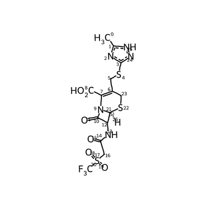 Cc1nc(SCC2=C(C(=O)O)N3C(=O)C(NC(=O)CS(=O)(=O)C(F)(F)F)[C@@H]3SC2)n[nH]1